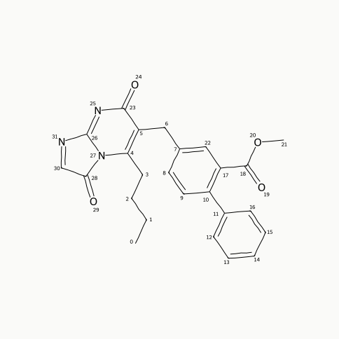 CCCCc1c(Cc2ccc(-c3ccccc3)c(C(=O)OC)c2)c(=O)nc2n1C(=O)C=N2